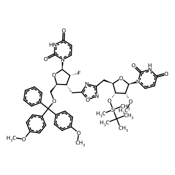 COc1ccc(C(OC[C@H]2O[C@@H](n3ccc(=O)[nH]c3=O)[C@H](F)[C@@H]2Cc2nc(C[C@H]3O[C@@H](n4ccc(=O)[nH]c4=O)[C@H](OC)[C@@H]3O[Si](C)(C)C(C)(C)C)no2)(c2ccccc2)c2ccc(OC)cc2)cc1